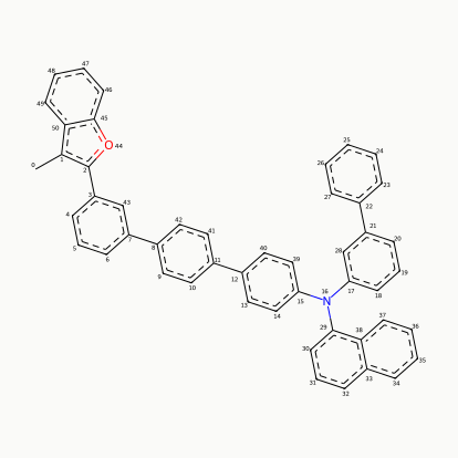 Cc1c(-c2cccc(-c3ccc(-c4ccc(N(c5cccc(-c6ccccc6)c5)c5cccc6ccccc56)cc4)cc3)c2)oc2ccccc12